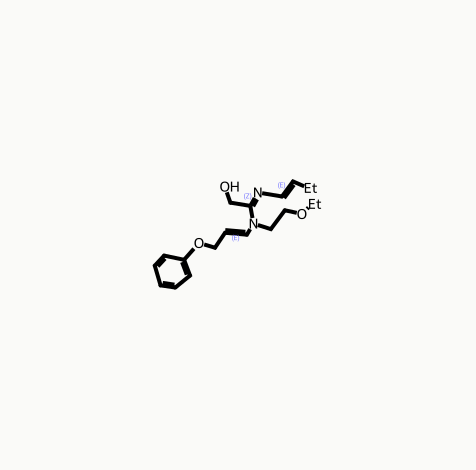 CC/C=C/N=C(/CO)N(/C=C/COc1ccccc1)CCOCC